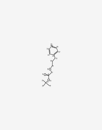 CC(C)(C)OC(=O)COCCCc1ccncc1